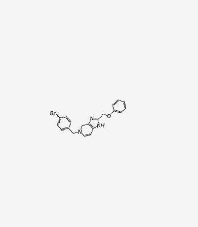 Brc1ccc(CN2C=Cc3[nH]c(COc4ccccc4)nc3C2)cc1